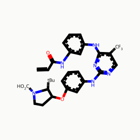 C=CC(=O)Nc1cccc(Nc2nc(Nc3cccc(OC4CCN(C(=O)O)C4C(C)(C)C)c3)ncc2C(F)(F)F)c1